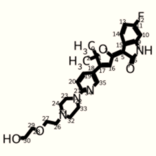 CC1(C)O/C(=C2/C(=O)Nc3cc(F)ccc32)C=C1c1ccc(N2CCN(CCOCCO)CC2)nc1